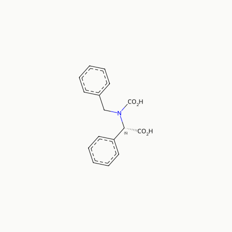 O=C(O)[C@H](c1ccccc1)N(Cc1ccccc1)C(=O)O